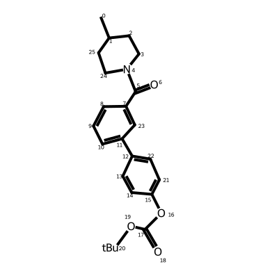 CC1CCN(C(=O)c2cccc(-c3ccc(OC(=O)OC(C)(C)C)cc3)c2)CC1